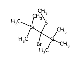 CSC(Br)([Si](C)(C)C)[Si](C)(C)C